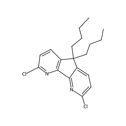 CCCCC1(CCCC)c2ccc(Cl)nc2-c2nc(Cl)ccc21